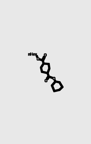 CCCCCCOC(=O)C1CCC(C(=O)OC2CCCCC2)CC1